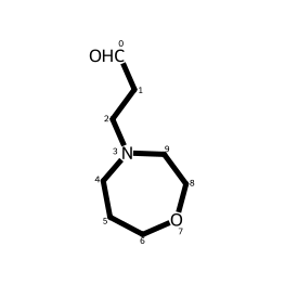 O=CCCN1CCCOCC1